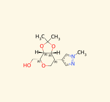 Cn1cc([C@@H]2CO[C@H](CO)[C@@H]3OC(C)(C)O[C@@H]32)cn1